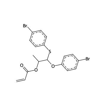 C=CC(=O)OC(C)C(Oc1ccc(Br)cc1)Sc1ccc(Br)cc1